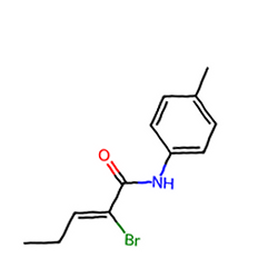 CCC=C(Br)C(=O)Nc1ccc(C)cc1